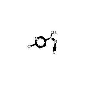 C/S(=N/C#N)c1ccc(Cl)nc1